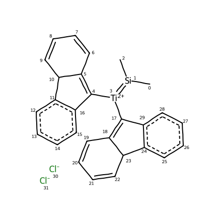 C[Si](C)=[Ti+2]([C]1=C2C=CC=CC2c2ccccc21)[C]1=C2C=CC=CC2c2ccccc21.[Cl-].[Cl-]